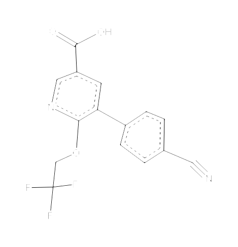 N#Cc1ccc(-c2cc(C(=O)O)cnc2OCC(F)(F)F)cc1